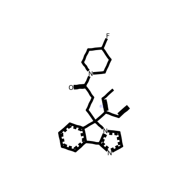 C=C/C(=C\C)C1(CCC(=O)N2CCC(F)CC2)c2ccccc2-c2nccn21